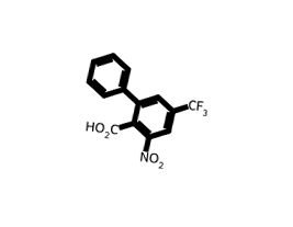 O=C(O)c1c(-c2ccccc2)cc(C(F)(F)F)cc1[N+](=O)[O-]